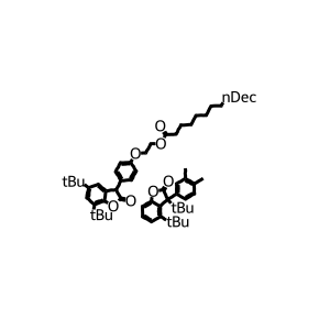 CCCCCCCCCCCCCCCCCC(=O)OCCOc1ccc(C2C(=O)Oc3c2cc(C(C)(C)C)cc3C(C)(C)C)cc1.Cc1ccc(C2(C(C)(C)C)C(=O)Oc3cccc(C(C)(C)C)c32)cc1C